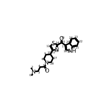 CN(C)CCC(=O)N1CCC(c2csc(C(=O)c3c[nH]c4ccccc34)n2)CC1